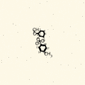 COC1CCCC[C@@H]1OS(=O)(=O)c1ccc(C)cc1